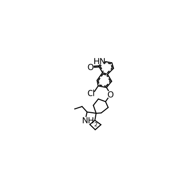 CCC(N)C1(C2CCC2)CCC(Oc2cc3cc[nH]c(=O)c3cc2Cl)CC1